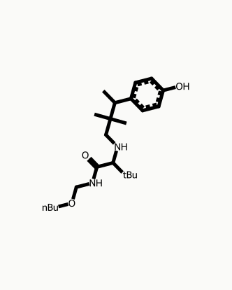 CCCCOCNC(=O)C(NCC(C)(C)C(C)c1ccc(O)cc1)C(C)(C)C